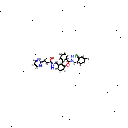 Cc1ccc(CNC(=O)c2ccccc2-c2ccccc2CNC(=O)CCc2ncccn2)c(F)c1